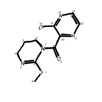 CSC1=NCCCN1C(=O)c1nccnc1Cl